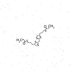 C=CC(=O)SCCCC1CSC(CC2SCC(CCCSC(=O)C=C)S2)S1